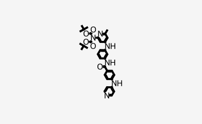 Cc1cc(Nc2cccc(NC(=O)c3ccc(Nc4ccncc4)cc3)c2)cc(N(C(=O)OC(C)(C)C)C(=O)OC(C)(C)C)n1